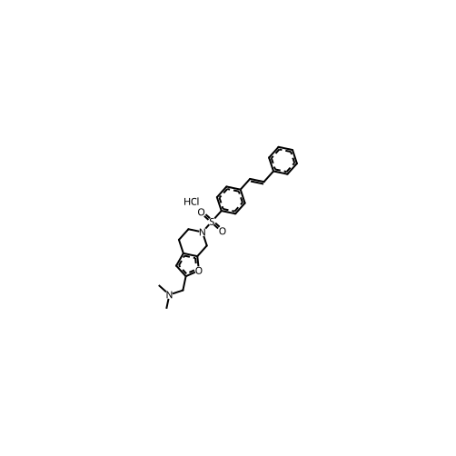 CN(C)Cc1cc2c(o1)CN(S(=O)(=O)c1ccc(C=Cc3ccccc3)cc1)CC2.Cl